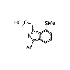 CSc1cccc2c(C(C)=O)nn(CC(=O)O)c12